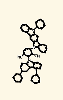 N#Cc1ccc(-n2c3ccccc3c3cc4c(cc32)c2ccccc2n4-c2ccccc2)c(C#N)c1-n1c2c(c3c(-c4ccccc4)cccc31)CC(c1ccccc1)C=C2